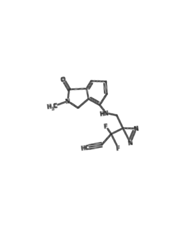 C#CC(F)(F)C1(CNc2cccc3c2CN(C)C3=O)N=N1